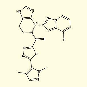 Cc1cnn(C)c1-c1nnc(C(=O)N2CCc3[nH]cnc3[C@@H]2c2cc3c(F)cccn3n2)o1